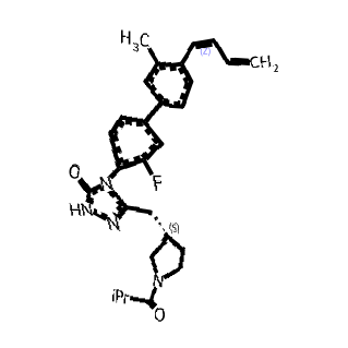 C=C/C=C\c1ccc(-c2ccc(-n3c(C[C@@H]4CCN(C(=O)C(C)C)C4)n[nH]c3=O)c(F)c2)cc1C